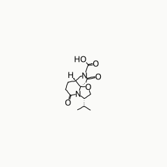 CC(C)[C@H]1CO[C@]23CC(=O)N(C(=O)O)C[C@H]2CCC(=O)N13